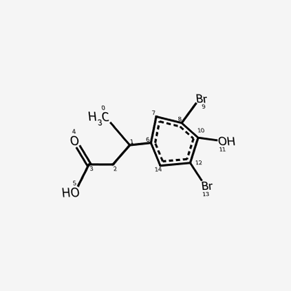 CC(CC(=O)O)c1cc(Br)c(O)c(Br)c1